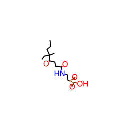 CCCC(C)(CC)C(=O)CCC(=O)NCCS(=O)(=O)O